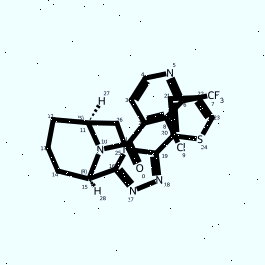 O=C(c1ccnc(C(F)(F)F)c1Cl)N1[C@H]2CCC[C@@H]1c1nnc(-c3cccs3)n1C2